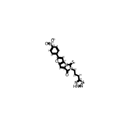 O=C1c2cc3oc(-c4ccc([N+](=O)[O-])cc4)cc3n2C(=S)N1CCCc1nn[nH]n1